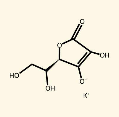 O=C1O[C@H](C(O)CO)C([O-])=C1O.[K+]